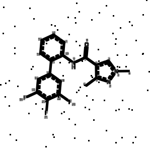 Cc1nn(C)cc1C(=O)Nc1ccccc1-c1cc(F)c(F)c(F)c1